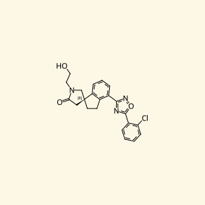 O=C1C[C@@]2(CCc3c(-c4noc(-c5ccccc5Cl)n4)cccc32)CN1CCO